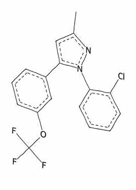 Cc1cc(-c2cccc(OC(F)(F)F)c2)n(-c2ccccc2Cl)n1